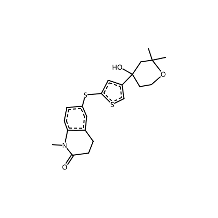 CN1C(=O)CCc2cc(Sc3cc(C4(O)CCOC(C)(C)C4)cs3)ccc21